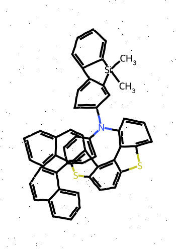 C[Si]1(C)c2ccccc2-c2ccc(N(c3ccc(-c4cccc5ccccc45)cc3)c3cccc4sc5ccc6sc7c8ccccc8ccc7c6c5c34)cc21